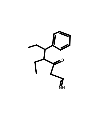 CCC(C(=O)CC=N)C(CC)c1ccccc1